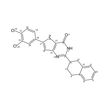 O=c1[nH]c(C2CCc3ccccc3C2)nc2cc(-c3ccc(Cl)c(Cl)c3)sc12